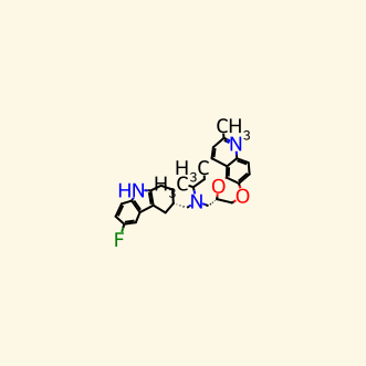 CCC(C)N(C[C@H]1CCc2[nH]c3ccc(F)cc3c2C1)C[C@H]1COc2ccc3nc(C)ccc3c2O1